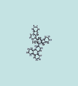 C1=Cc2c(sc3ccccc23)C(C2=Nc3c(sc4ccccc34)C(C3=CC4c5ccccc5-c5ccccc5C4C=C3)N2)C1